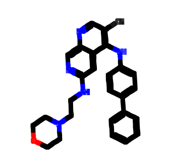 N#Cc1cnc2cnc(NCCN3CCOCC3)cc2c1Nc1ccc(-c2ccccc2)cc1